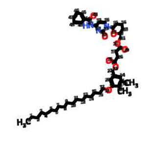 CCCCCCCCCCCCCCCCCCOc1cc(COC(=O)CCC(=O)OC[C@@H]2CCC[C@H](n3ccc(NC(=O)c4ccccc4)nc3=O)O2)cc(C)c1C